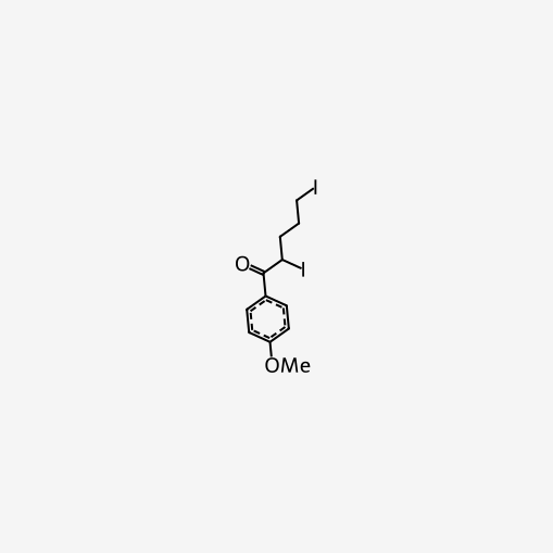 COc1ccc(C(=O)C(I)CCCI)cc1